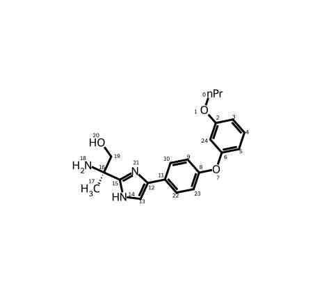 CCCOc1cccc(Oc2ccc(-c3c[nH]c([C@@](C)(N)CO)n3)cc2)c1